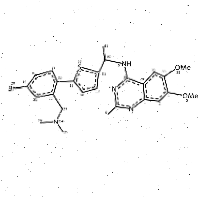 COc1cc2nc(C)nc(NC(C)c3ccc(-c4ccc(Br)cc4CN(C)C)s3)c2cc1OC